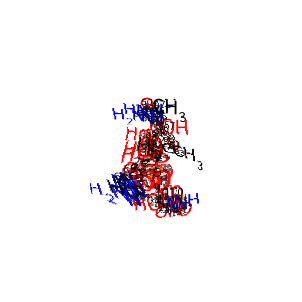 CO[C@@H]1[C@H](OP(=O)([O-])OC[C@H]2O[C@@H](n3ccc(=O)[nH]c3=O)[C@H](O)[C@@H]2O)[C@@H](COP(=O)(O)OP(=O)(O)OP(=O)(O)OC[C@H]2O[C@@H](n3c[n+](C)c4c(=O)[nH]c(N)nc43)[C@H](O)[C@@H]2CCOC(C)C)O[C@H]1n1cnc2c(N)ncnc21